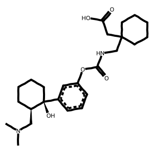 CN(C)C[C@H]1CCCC[C@]1(O)c1cccc(OC(=O)NCC2(CC(=O)O)CCCCC2)c1